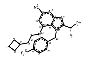 C[C@@H](O)c1nc2nc(C#N)nc(NCCC3CCC3)c2n1Cc1ccc(C(F)(F)F)cc1